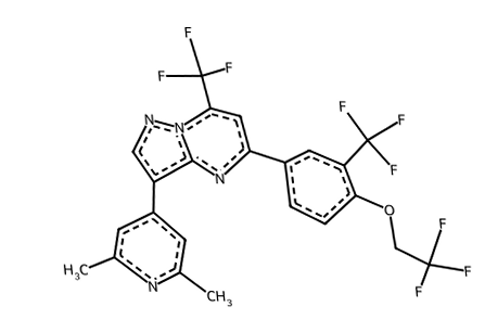 Cc1cc(-c2cnn3c(C(F)(F)F)cc(-c4ccc(OCC(F)(F)F)c(C(F)(F)F)c4)nc23)cc(C)n1